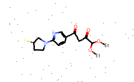 CCOC(OCC)C(=O)CC(=O)c1ccc(N2CC[C@@H](F)C2)nc1